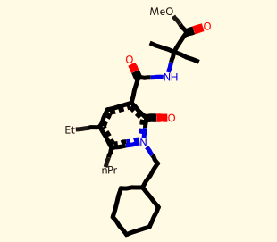 CCCc1c(CC)cc(C(=O)NC(C)(C)C(=O)OC)c(=O)n1CC1CCCCC1